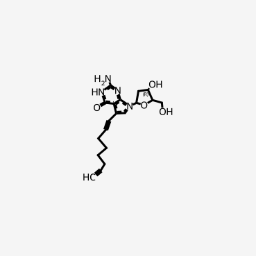 C#CCCCCC#Cc1cn(C2C[C@@H](O)C(CO)O2)c2nc(N)[nH]c(=O)c12